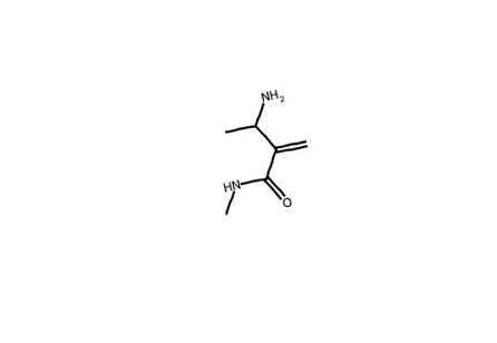 C=C(C(=O)NC)C(C)N